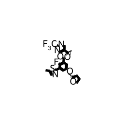 Cc1cnc(-c2cc(OC[C@@H]3CCCO3)cc(C(=O)O[C@H](C)c3cnc(C(F)(F)F)nc3)c2F)s1